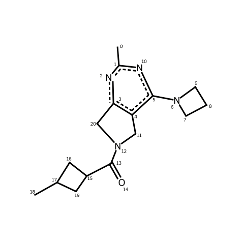 Cc1nc2c(c(N3CCC3)n1)CN(C(=O)C1CC(C)C1)C2